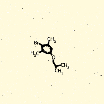 C[C](C)COc1cc(C)c(Br)c(C)c1